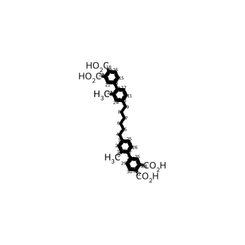 Cc1cc(CCCCCCc2ccc(-c3ccc(C(=O)O)c(C(=O)O)c3)c(C)c2)ccc1-c1ccc(C(=O)O)c(C(=O)O)c1